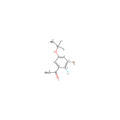 COC(=O)c1cc(O[Si](C)(C)C(C)(C)C)cc(Br)c1F